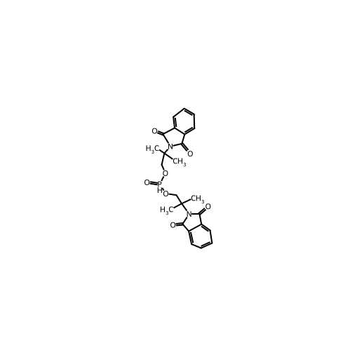 CC(C)(CO[PH](=O)OCC(C)(C)N1C(=O)c2ccccc2C1=O)N1C(=O)c2ccccc2C1=O